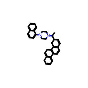 [CH2]C(C1C=Cc2ccc3c(c2C1)CC=C1CC=CC=C13)N1CCN(c2cccc3ccccc23)CC1